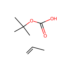 C=CC.CC(C)(C)OC(=O)O